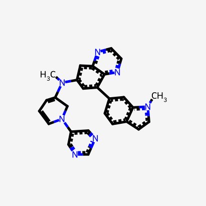 CN(C1=CC=CN(c2cncnc2)C1)c1cc(-c2ccc3ccn(C)c3c2)c2nccnc2c1